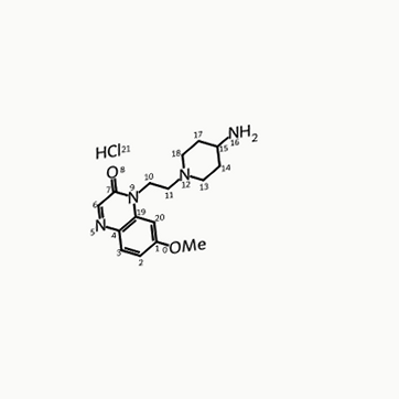 COc1ccc2ncc(=O)n(CCN3CCC(N)CC3)c2c1.Cl